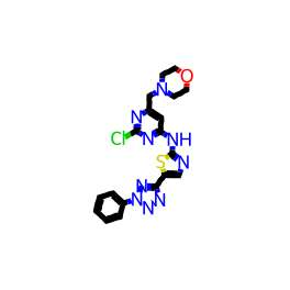 Clc1nc(CN2CCOCC2)cc(Nc2ncc(-c3nnn(-c4ccccc4)n3)s2)n1